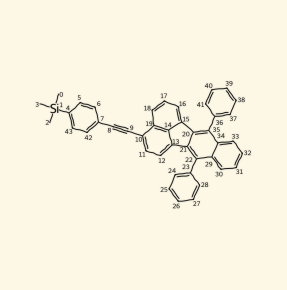 C[Si](C)(C)c1ccc(C#Cc2ccc3c4c(cccc24)-c2c-3c(-c3ccccc3)c3ccccc3c2-c2ccccc2)cc1